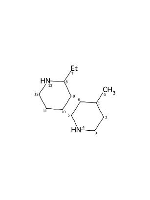 CC1CCNCC1.CCC1CCCCN1